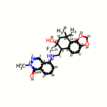 Cn1ncc2c(NCC3c4ccc5c(c4C(C)(C)CC3(O)C(F)(F)F)OCO5)cccc2c1=O